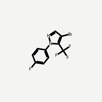 Fc1ccc(-n2ncc(Br)c2C(F)(F)F)cc1